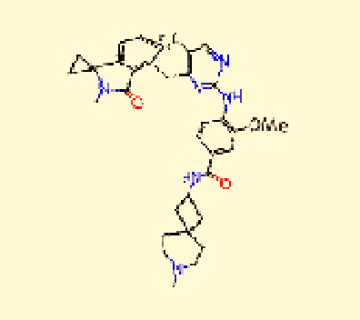 COc1cc(C(=O)NC2CC3(CCN(C)CC3)C2)ccc1Nc1ncc(C(F)(F)F)c(Cc2cccc3c2C(=O)N(C)C32CC2)n1